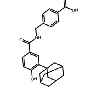 O=C(O)c1ccc(CNC(=O)c2ccc(O)c(C34CC5CC(CC(C5)C3)C4)c2)cc1